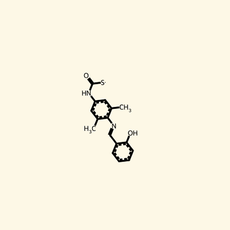 Cc1cc(NC(=O)[S])cc(C)c1N=Cc1ccccc1O